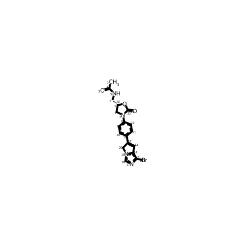 CC(=O)NC[C@H]1CN(c2ccc(C3=Cc4c(Br)ncn4C3)cc2)C(=O)O1